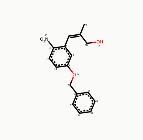 CC(=Cc1cc(OCc2ccccc2)ccc1[N+](=O)[O-])CO